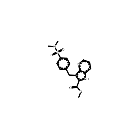 COC(=O)c1[nH]c2cccnc2c1Cc1ccc(S(=O)(=O)N(C)C)cc1